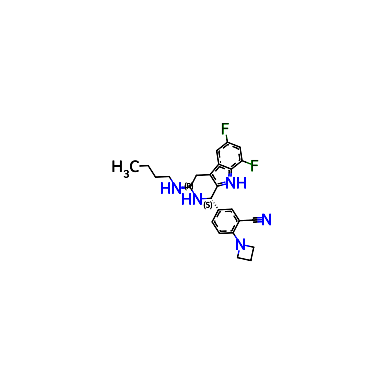 CCCCN[C@H]1Cc2c([nH]c3c(F)cc(F)cc23)[C@H](c2ccc(N3CCC3)c(C#N)c2)N1